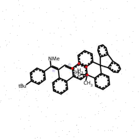 CN/C(=C(\C=C(/C)c1cccc2c1C(C)(C)c1ccccc1C21c2ccccc2-c2ccccc21)c1ccccc1-c1ccccc1)c1ccc(C(C)(C)C)cc1